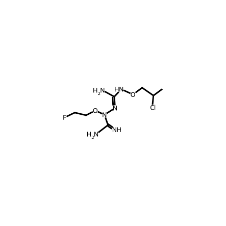 CC(Cl)CONC(N)=NN(OCCF)C(=N)N